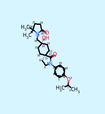 CC(C)Oc1ccc(N2CC[C@]3(CC[C@](O)(CN4C(=O)CCC4(C)C)CC3)C2=O)cc1